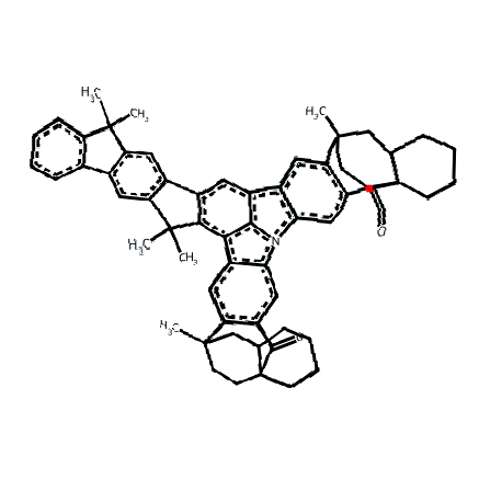 CC12CCC3(CCCCC3C1)C(=O)c1cc3c(cc12)c1cc2c(c4c5cc6c(cc5n3c14)C(=O)C13CCCCC1CC6(C)CC3)C(C)(C)c1cc3c(cc1-2)C(C)(C)c1ccccc1-3